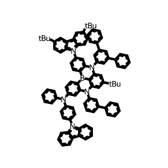 CC(C)(C)c1cc2c3c(c1)N(c1cc(-c4ccccc4)cc(-c4ccccc4)c1)c1cc(-n4c5ccc(C(C)(C)C)cc5c5cc(C(C)(C)C)ccc54)ccc1B3c1ccc(N(c3ccccc3)c3ccc(-n4c5ccccc5c5ccccc54)cc3)cc1N2c1cccc(-c2ccccc2)c1